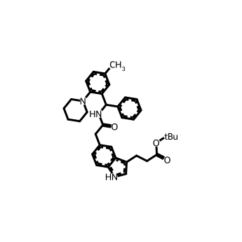 Cc1ccc(N2CCCCC2)c(C(NC(=O)Cc2ccc3[nH]cc(CCC(=O)OC(C)(C)C)c3c2)c2ccccc2)c1